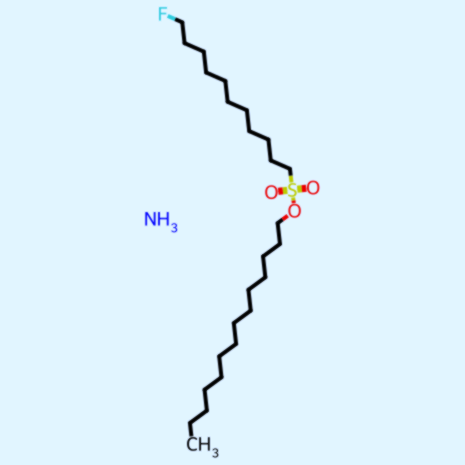 CCCCCCCCCCCCCCOS(=O)(=O)CCCCCCCCCCCF.N